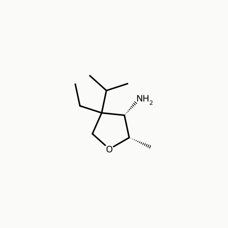 CCC1(C(C)C)CO[C@@H](C)[C@H]1N